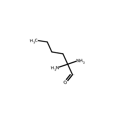 CCCCC(N)(N)[C]=O